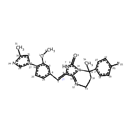 COc1cc(/C=c2\[nH]c(=O)n3c2=NCCC3(C)c2ccc(F)cc2)ccc1-n1cnc(C)c1